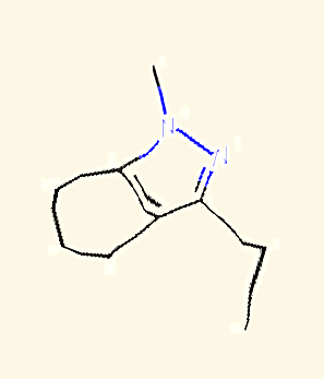 CCc1nn(C)c2c1CCC2